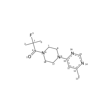 CC(C)(F)C(=O)N1CCN(c2cc(I)ncn2)CC1